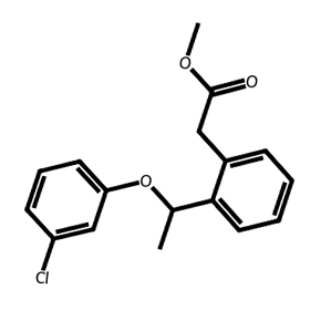 COC(=O)Cc1ccccc1C(C)Oc1cccc(Cl)c1